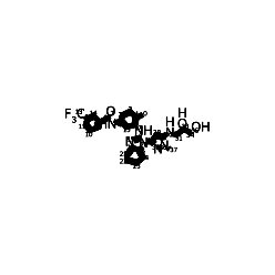 Cc1ccc(NC(=O)c2cccc(C(F)(F)F)c2)cc1Nc1nc2ccccc2n1-c1cc(NCC(O)CO)n(C)n1